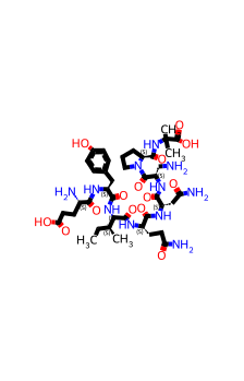 CC[C@H](C)[C@H](NC(=O)[C@H](Cc1ccc(O)cc1)NC(=O)[C@@H](N)CCC(=O)O)C(=O)N[C@@H](CCC(N)=O)C(=O)N[C@@H](CC(N)=O)C(=O)N[C@@H](CN)C(=O)N1CCC[C@H]1C(=O)NC(C)(C)C(=O)O